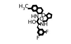 CCc1ccc2c(c1)[C@@H](NC[C@H](O)[C@H](Cc1cc(F)cc(F)c1)NC(=O)CC1CCCC1=O)CCC2